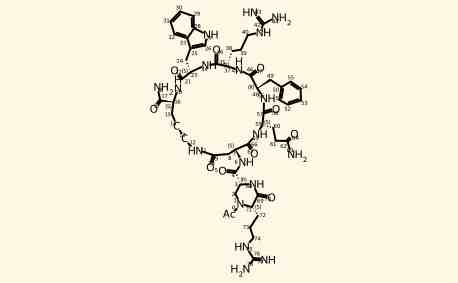 CC(=O)N1C[C@H](C(=O)N[C@H]2CC(=O)NCCCC[C@@H](C(N)=O)NC(=O)[C@H](Cc3c[nH]c4ccccc34)NC(=O)[C@H](CCCNC(=N)N)NC(=O)[C@@H](Cc3ccccc3)NC(=O)[C@H](CCC(N)=O)NC2=O)NC(=O)[C@@H]1CCCNC(=N)N